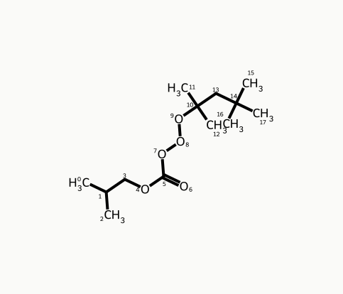 CC(C)COC(=O)OOOC(C)(C)CC(C)(C)C